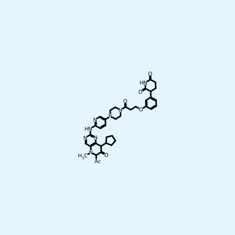 CC(=O)C1C(=O)C(C2CCCC2)c2nc(Nc3ccc(N4CCN(C(=O)CCOc5cccc(C6CCC(=O)NC6=O)c5)CC4)cn3)ncc2N1C